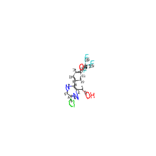 OCc1nc(Cl)cnc1-c1ccc(OC(F)(F)F)cc1